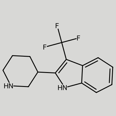 FC(F)(F)c1c(C2CCCNC2)[nH]c2ccccc12